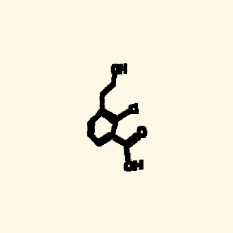 O=C(O)c1cccc(CCO)c1Cl